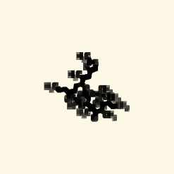 C=CC/C(=C\C[C@H](OC(=O)C[C@H](O[Si](CC)(CC)CC)C(C)(C)C(=O)[C@H](C)[C@@H](O[Si](C)(C)C(C)(C)C)[C@@H](C)C=C)/C(C)=C/c1csc(C)n1)C(F)(F)F